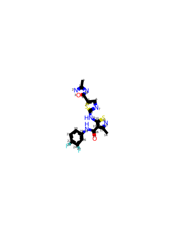 Cc1noc(-c2cnc(Nc3snc(C)c3C(=O)Nc3ccc(F)c(F)c3)s2)n1